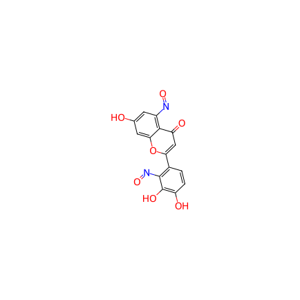 O=Nc1c(-c2cc(=O)c3c(N=O)cc(O)cc3o2)ccc(O)c1O